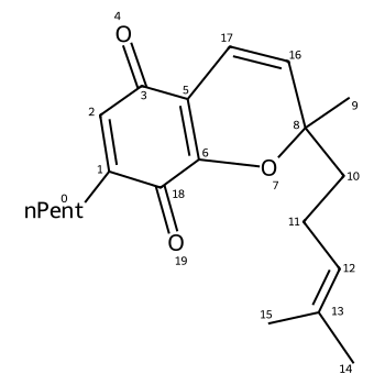 CCCCCC1=CC(=O)C2=C(OC(C)(CCC=C(C)C)C=C2)C1=O